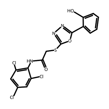 O=C(CSc1nnc(-c2ccccc2O)o1)Nc1c(Cl)cc(Cl)cc1Cl